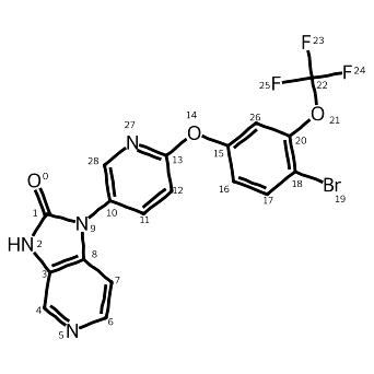 O=c1[nH]c2cnccc2n1-c1ccc(Oc2ccc(Br)c(OC(F)(F)F)c2)nc1